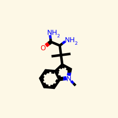 Cn1cc(C(C)(C)C(N)C(N)=O)c2ccccc21